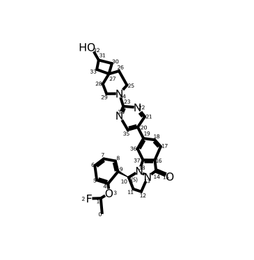 CC(F)Oc1ccccc1[C@@H]1CCn2c(=O)c3ccc(-c4cnc(N5CCC6(CC5)CC(O)C6)nc4)cc3n21